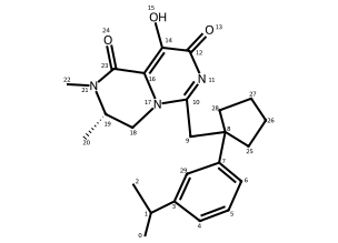 CC(C)c1cccc(C2(Cc3nc(=O)c(O)c4n3C[C@H](C)N(C)C4=O)CCCC2)c1